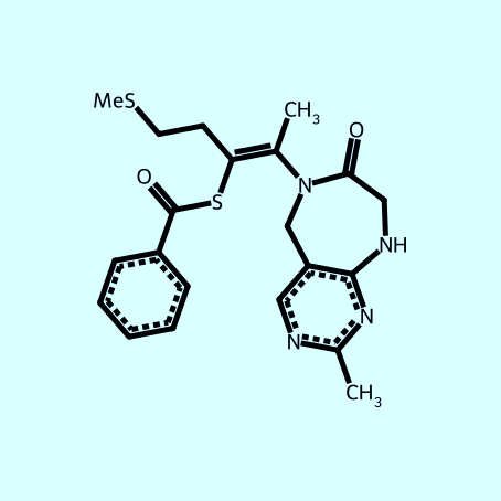 CSCC/C(SC(=O)c1ccccc1)=C(\C)N1Cc2cnc(C)nc2NCC1=O